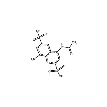 CC(=O)Nc1cc(S(=O)(=O)O)cc2c(N)cc(S(=O)(=O)O)cc12